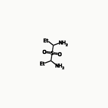 CCC(N)S(=O)(=O)C(N)CC